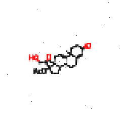 CC(=O)O[C@]1(C(=O)CO)CCC2C3CCC4=CC(=O)CCC4(C)C3=CCC21C